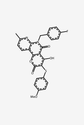 COc1ccc(Sc2c(O)c3c(=O)n(Cc4ccc(F)cc4)c4nc(C)ccc4c3oc2=O)cc1